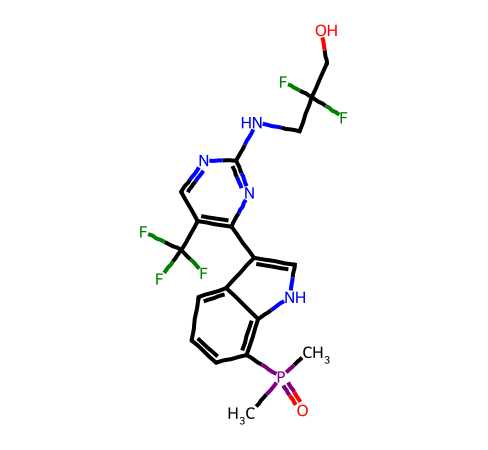 CP(C)(=O)c1cccc2c(-c3nc(NCC(F)(F)CO)ncc3C(F)(F)F)c[nH]c12